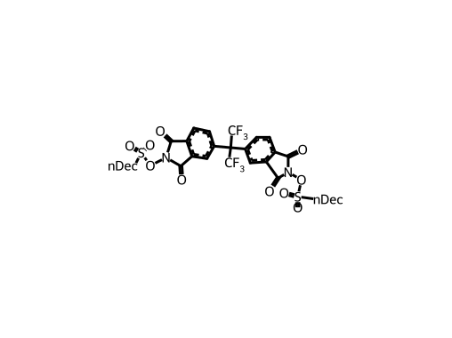 CCCCCCCCCCS(=O)(=O)ON1C(=O)c2ccc(C(c3ccc4c(c3)C(=O)N(OS(=O)(=O)CCCCCCCCCC)C4=O)(C(F)(F)F)C(F)(F)F)cc2C1=O